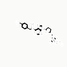 NS(=O)(=O)OC[C@@H]1CC[C@H](n2cnc3c(NCc4ccc(Cl)cc4)ncnc32)O1